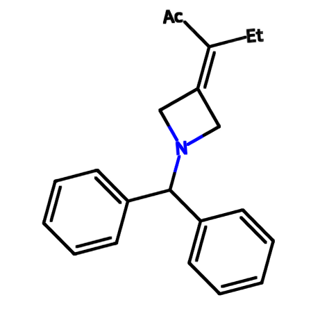 CCC(C(C)=O)=C1CN(C(c2ccccc2)c2ccccc2)C1